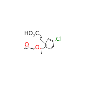 C[C@@H](OC[C@H]1CO1)c1ccc(Cl)cc1C=CC(=O)O